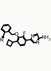 N#Cc1ccccc1COc1c(C2CCC2)ccc(-c2cnc(N)cn2)c1F